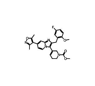 COC(=O)N1CCC=C(c2c(Cc3cc(F)ccc3OC)nc3cc(-c4c(C)noc4C)ccn23)C1